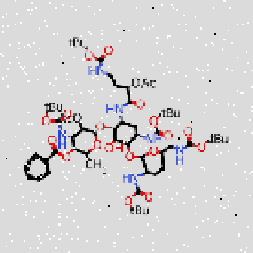 CC(=O)OC1[C@@H](O[C@@H]2C(O)C(O[C@H]3OC(CNC(=O)OC(C)(C)C)CCC3NC(=O)OC(C)(C)C)[C@H](NC(=O)OC(C)(C)C)C[C@H]2NC(=O)[C@H](CCNC(=O)OC(C)(C)C)OC(C)=O)OC(C)[C@@H](OC(=O)c2ccccc2)[C@@H]1NC(=O)OC(C)(C)C